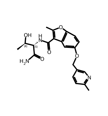 Cc1ccc(COc2ccc3oc(C)c(C(=O)N[C@H](C(N)=O)[C@@H](C)O)c3c2)cn1